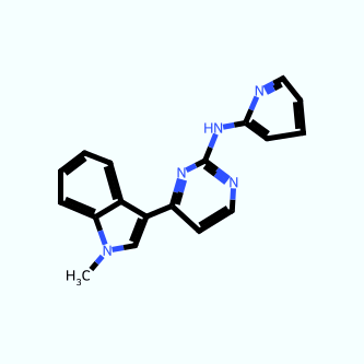 Cn1cc(-c2ccnc(Nc3ccccn3)n2)c2ccccc21